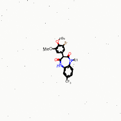 CCCCOc1c(Br)cc(C2C(=O)Nc3cc(C(F)(F)F)ccc3N(CC)C2=O)cc1OC